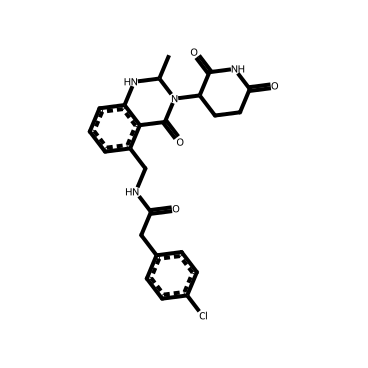 CC1Nc2cccc(CNC(=O)Cc3ccc(Cl)cc3)c2C(=O)N1C1CCC(=O)NC1=O